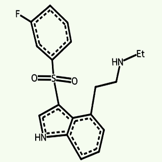 CCNCCc1cccc2[nH]cc(S(=O)(=O)c3cccc(F)c3)c12